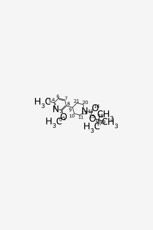 COc1nc(C)ccc1C1CCN(C(=O)OC(C)(C)C)CC1